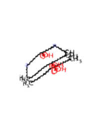 CCCCCCCC/C=C\CCCCCCCCCCC(CCCCCCCC/C=C\CCCCCCCC)C(=O)O.CCCCCCCCCCCCCCCCC(CCCCCCCCCCCC)C(=O)O.CCCCCCCCCCCCCCCCC(CCCCCCCCCCCCC)C(=O)O